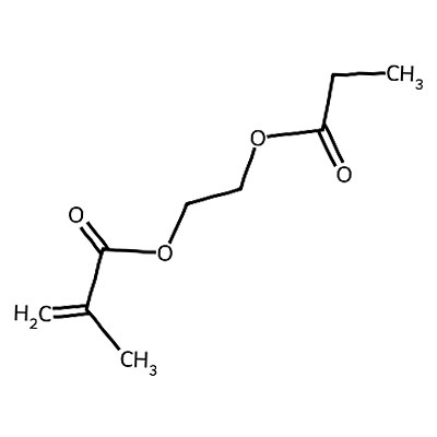 C=C(C)C(=O)OCCOC(=O)CC